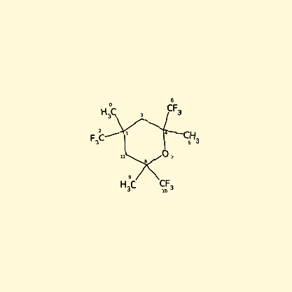 CC1(C(F)(F)F)CC(C)(C(F)(F)F)OC(C)(C(F)(F)F)C1